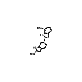 CC(C)(C)c1cc2ccc(-c3cc4cccc(C(C)(C)C)c4[nH]3)cc2[nH]1